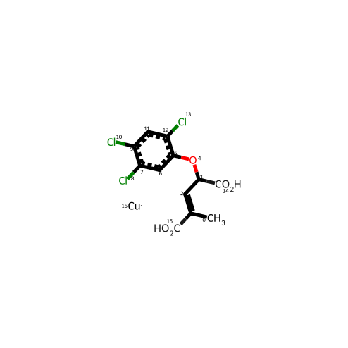 CC(=CC(Oc1cc(Cl)c(Cl)cc1Cl)C(=O)O)C(=O)O.[Cu]